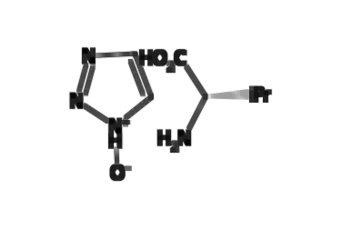 CC(C)[C@H](N)C(=O)O.[O-][NH+]1C=CN=N1